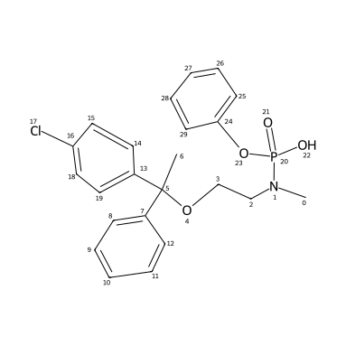 CN(CCOC(C)(c1ccccc1)c1ccc(Cl)cc1)P(=O)(O)Oc1ccccc1